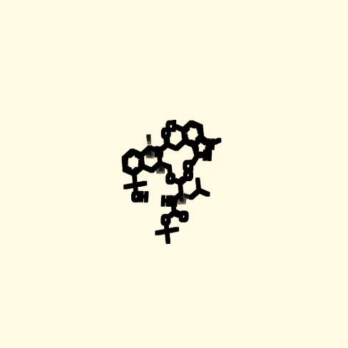 CC(C)C[C@H](NC(=O)OC(C)(C)C)C(=O)OC[C@H]1Cc2c(cccc2C(C)(C)O)[C@H](C)N1C(=O)Cc1c(Cl)ccc2c1c(Cl)nn2C